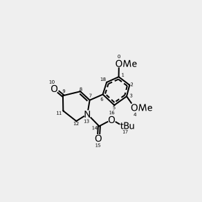 COc1cc(OC)cc(C2=CC(=O)CCN2C(=O)OC(C)(C)C)c1